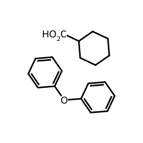 O=C(O)C1CCCCC1.c1ccc(Oc2ccccc2)cc1